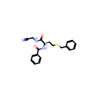 N#CCNC(=O)[C@@H](CCSCc1ccccc1)NC(=O)c1ccccc1